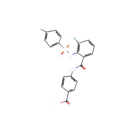 O=C(O)c1ccc(NC(=O)c2cccc(Cl)c2NS(=O)(=O)c2ccc(Cl)cc2)cc1